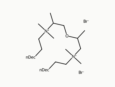 CCCCCCCCCCCC[N+](C)(C)CC(C)OCC(C)[N+](C)(C)CCCCCCCCCCCC.[Br-].[Br-]